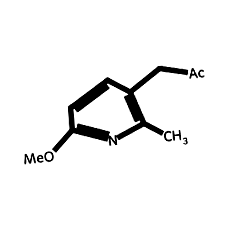 COc1ccc(CC(C)=O)c(C)n1